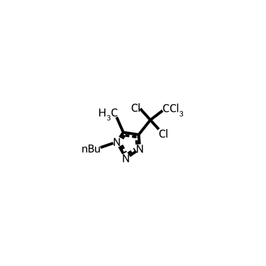 CCCCn1nnc(C(Cl)(Cl)C(Cl)(Cl)Cl)c1C